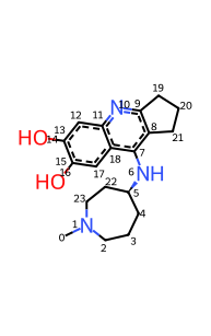 CN1CCC[C@H](Nc2c3c(nc4cc(O)c(O)cc24)CCC3)CC1